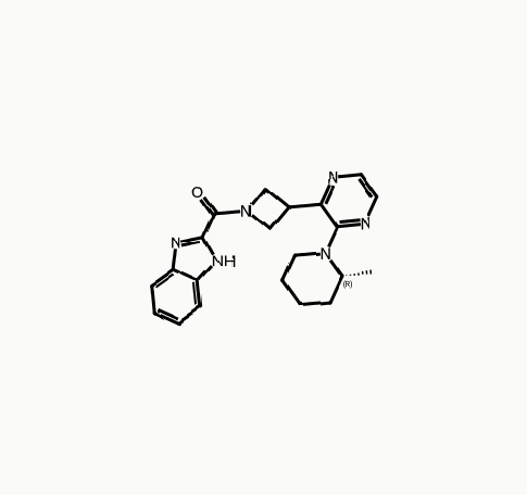 C[C@@H]1CCCCN1c1nccnc1C1CN(C(=O)c2nc3ccccc3[nH]2)C1